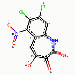 O=c1[nH]c2cc(Cl)c(Cl)c([N+](=O)[O-])c2cc(O)c1=O